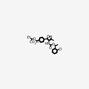 CCC(OCc1ccc(-c2onc(C)c2NC(=O)OC(C)c2ccccc2Cl)cc1)C(=O)O